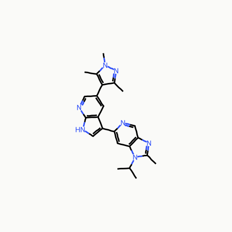 Cc1nn(C)c(C)c1-c1cnc2[nH]cc(-c3cc4c(cn3)nc(C)n4C(C)C)c2c1